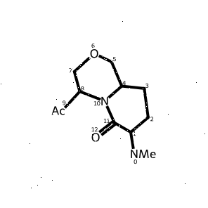 CNC1CCC2COCC(C(C)=O)N2C1=O